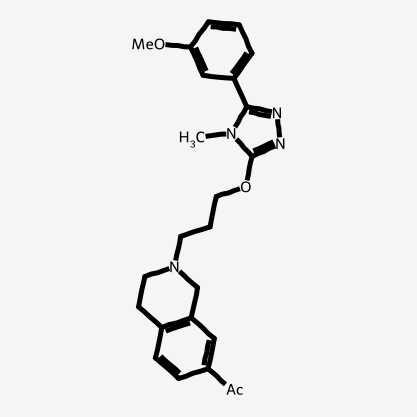 COc1cccc(-c2nnc(OCCCN3CCc4ccc(C(C)=O)cc4C3)n2C)c1